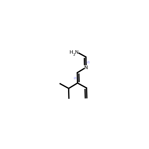 C=C/C(=C\N=C/N)C(C)C